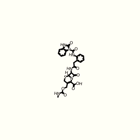 CNC(=O)OCC1=C(C(=O)O)N2C(=O)C(NC(=O)Cc3ccccc3NC(=O)n3c(=O)[nH]c4ccccc43)[C@H]2SC1